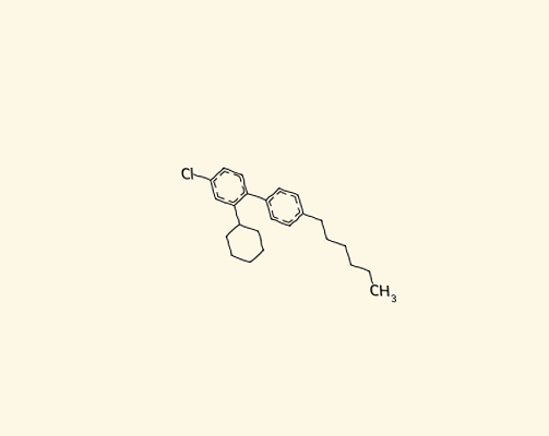 CCCCCCc1ccc(-c2ccc(Cl)cc2C2CCCCC2)cc1